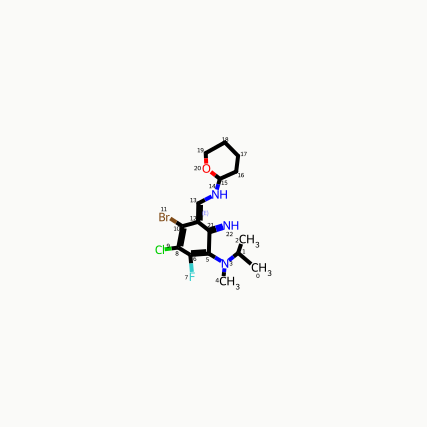 CC(C)N(C)C1=C(F)C(Cl)=C(Br)/C(=C/NC2CCCCO2)C1=N